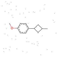 COc1ccc(C2[CH]C(C)C2)cc1